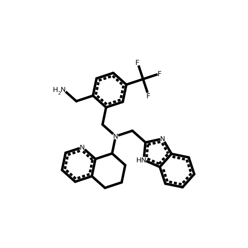 NCc1ccc(C(F)(F)F)cc1CN(Cc1nc2ccccc2[nH]1)C1CCCc2cccnc21